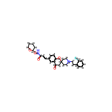 O=C(C=Cc1ccc2c(c1)C(=O)CC1(CCN(CCc3ccccc3F)CC1)O2)NOC1CCCCO1